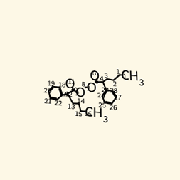 CCCCC(C(=O)OCOC(=O)C(CCCC)c1ccccc1)c1ccccc1